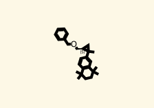 CC1(C)CCC(C)(C)c2cc(C3(C)C[C@@H]3COCc3ccccc3)ccc21